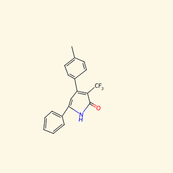 Cc1ccc(-c2cc(-c3ccccc3)[nH]c(=O)c2C(F)(F)F)cc1